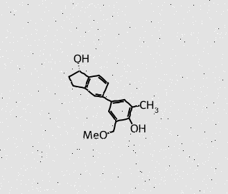 COCc1cc(-c2ccc3c(c2)CC[C@@H]3O)cc(C)c1O